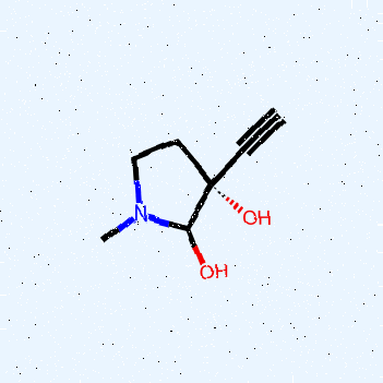 C#C[C@]1(O)CCN(C)C1O